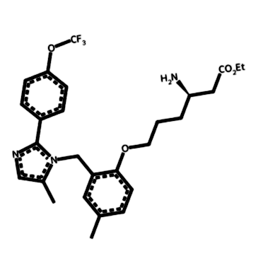 CCOC(=O)C[C@H](N)CCCOc1ccc(C)cc1Cn1c(C)cnc1-c1ccc(OC(F)(F)F)cc1